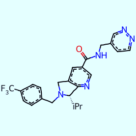 CC(C)[C@H]1c2ncc(C(=O)NCc3ccnnc3)cc2CN1Cc1ccc(C(F)(F)F)cc1